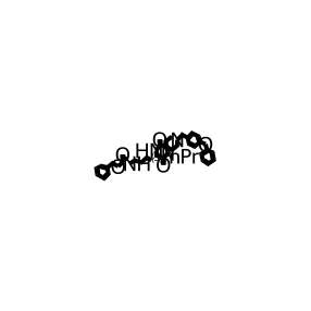 CCCN1C(=O)[C@H](CCCCNC(=O)OCc2ccccc2)NC(=O)C12CCN(Cc1ccc(Oc3ccccc3)cc1)CC2